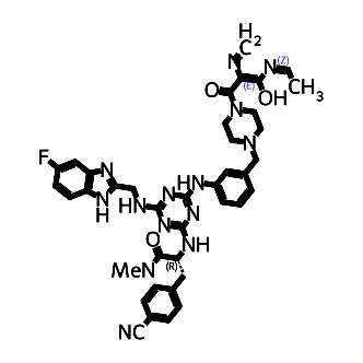 C=N/C(C(=O)N1CCN(Cc2cccc(Nc3nc(NCc4nc5cc(F)ccc5[nH]4)nc(N[C@H](Cc4ccc(C#N)cc4)C(=O)NC)n3)c2)CC1)=C(O)\N=C/C